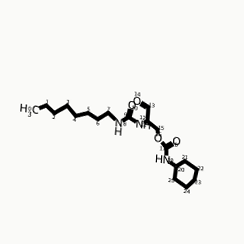 CCCCCCCCNC(=O)NC(C=O)COC(=O)NC1CCCCC1